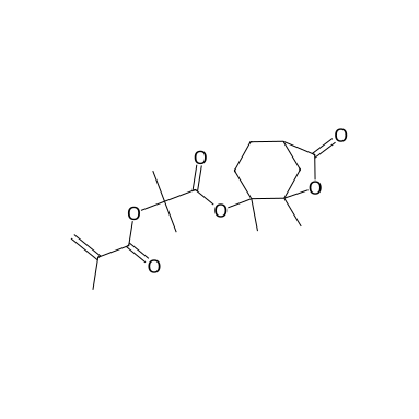 C=C(C)C(=O)OC(C)(C)C(=O)OC1(C)CCC2CC1(C)OC2=O